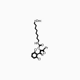 CCCCCCCCCCCCCCCCCCNC(=O)Oc1c(-c2c(Cl)cccc2Cl)noc1C(C)C